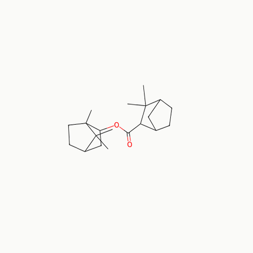 CC1(C)C2CCC(C2)C1C(=O)OC1CC2CCC1(C)C2(C)C